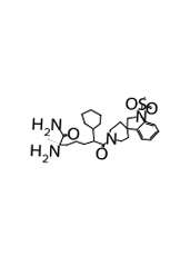 C[C@@](N)(CCCC(C(=O)N1CCC2(CC1)CN(S(C)(=O)=O)c1ccccc12)C1CCCCC1)C(N)=O